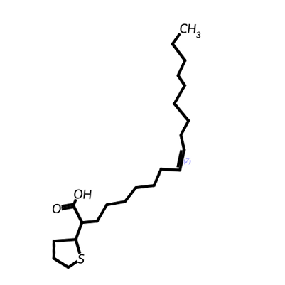 CCCCCCCC/C=C\CCCCCCC(C(=O)O)C1CCCS1